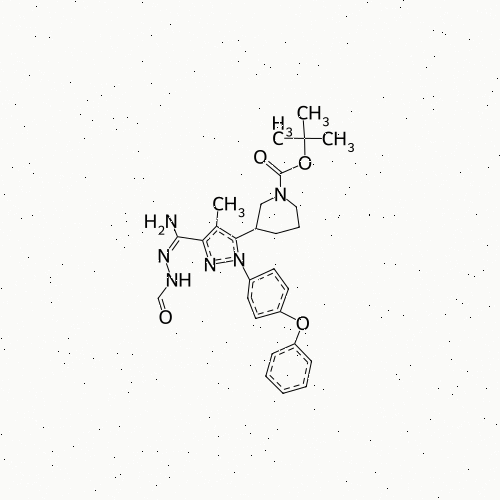 Cc1c(/C(N)=N\NC=O)nn(-c2ccc(Oc3ccccc3)cc2)c1C1CCCN(C(=O)OC(C)(C)C)C1